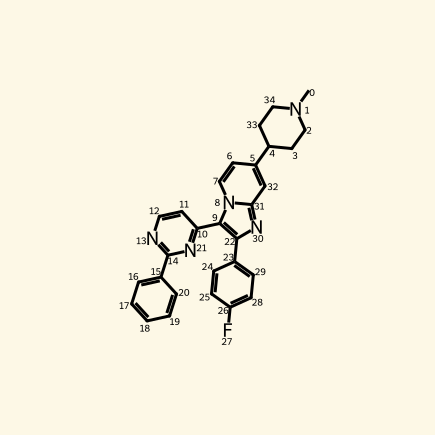 CN1CCC(c2ccn3c(-c4ccnc(-c5ccccc5)n4)c(-c4ccc(F)cc4)nc3c2)CC1